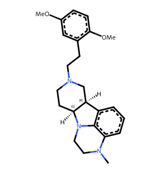 COc1ccc(OC)c(CCN2CC[C@H]3[C@@H](C2)c2cccc4c2N3CCN4C)c1